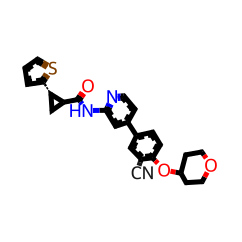 N#Cc1cc(-c2ccnc(NC(=O)C3C[C@@H]3c3cccs3)c2)ccc1OC1CCOCC1